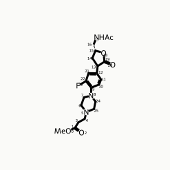 COC(=O)CCN1CCN(c2ccc(C3C[C@H](CNC(C)=O)OC3=O)cc2F)CC1